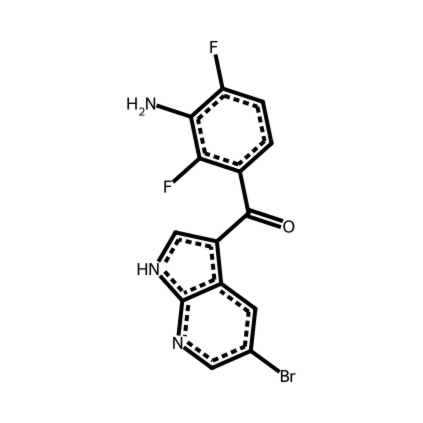 Nc1c(F)ccc(C(=O)c2c[nH]c3ncc(Br)cc23)c1F